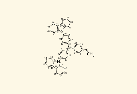 C=Cc1ccc(N(c2ccc(N3c4ccccc4C4=CC=CCC43)cc2)c2ccc(-n3c4c(c5c3=CCCC=5)CCC=C4)cc2)cc1